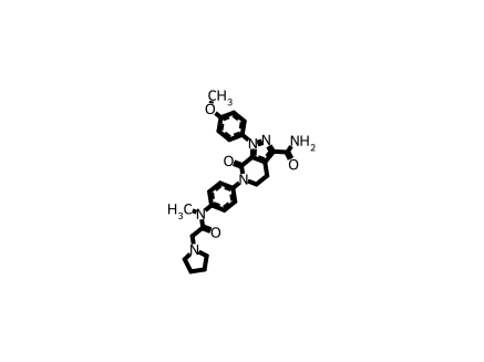 COc1ccc(-n2nc(C(N)=O)c3c2C(=O)N(c2ccc(N(C)C(=O)CN4CCCC4)cc2)CC3)cc1